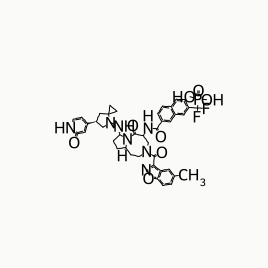 Cc1ccc2onc(C(=O)N3CC[C@H]4CC[C@@H](NN5C[C@@H](c6cc[nH]c(=O)c6)CC56CC6)N4C(=O)[C@@H](NC(=O)c4ccc5ccc(C(F)(F)P(=O)(O)O)cc5c4)C3)c2c1